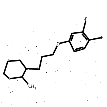 CC1CCCCC1CCCOc1ccc(F)c(F)c1